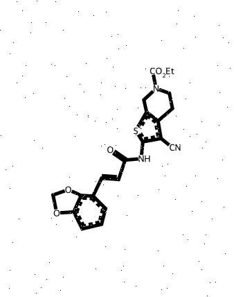 CCOC(=O)N1CCc2c(sc(NC(=O)C=Cc3cccc4c3OCO4)c2C#N)C1